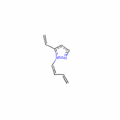 C=C/C=C\n1nccc1C=C